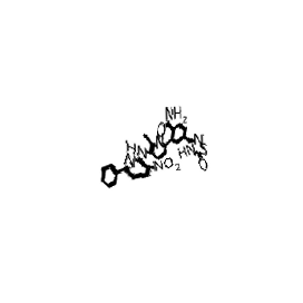 Cc1nc(-c2cc(-c3nsc(=O)[nH]3)ccc2C(N)=O)ccc1Nc1nc(-c2ccccc2)ccc1[N+](=O)[O-]